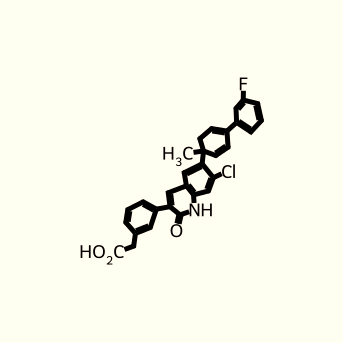 CC1(c2cc3cc(-c4cccc(CC(=O)O)c4)c(=O)[nH]c3cc2Cl)C=CC(c2cccc(F)c2)=CC1